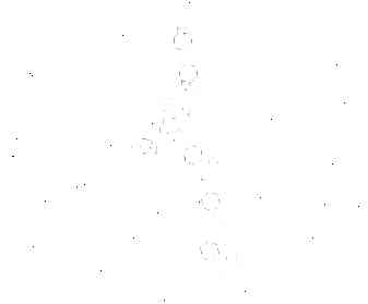 COC(=O)C(Cc1ccc(-c2ccnc(C)c2C)cc1)NC(=O)[C@@H]1Cc2cc3c(cc2CN1C(=O)c1nc(C)oc1C)O[C@@H](c1ccc(OCc2ccc(Cl)c(Cl)c2)cc1)CO3